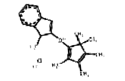 CC1=C(C)C(C)(C)[C]([Zr+2][C]2=Cc3ccccc3C2C)=C1C.[Cl-].[Cl-]